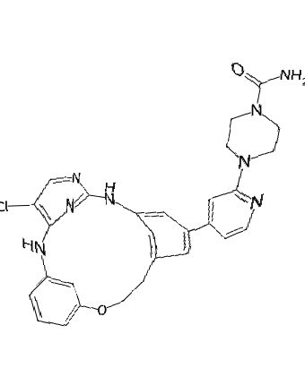 NC(=O)N1CCN(c2cc(-c3cc4cc(c3)Nc3ncc(Cl)c(n3)Nc3cccc(c3)OCC4)ccn2)CC1